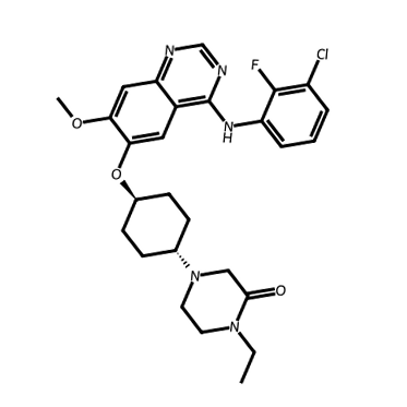 CCN1CCN([C@H]2CC[C@H](Oc3cc4c(Nc5cccc(Cl)c5F)ncnc4cc3OC)CC2)CC1=O